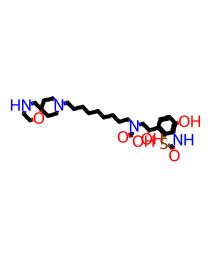 O=C(O)N(CCCCCCCCCN1CCC2(CC1)CNCCO2)C[C@H](O)c1ccc(O)c2[nH]c(=O)sc12